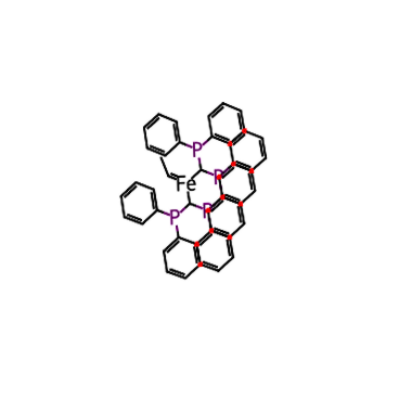 C[CH]=[Fe]([CH](P(c1ccccc1)c1ccccc1)P(c1ccccc1)c1ccccc1)[CH](P(c1ccccc1)c1ccccc1)P(c1ccccc1)c1ccccc1